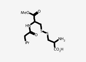 COC(=O)C(CSSCC(N)C(=O)O)NC(=O)CC(C)C